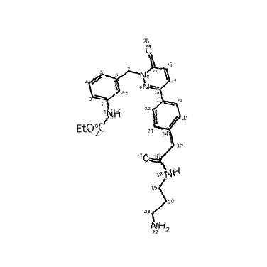 CCOC(=O)Nc1cccc(Cn2nc(-c3ccc(CC(=O)NCCCN)cc3)ccc2=O)c1